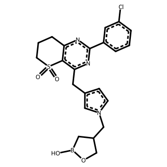 O=S1(=O)CCCc2nc(-c3cccc(Cl)c3)nc(Cc3ccn(CC4COB(O)C4)c3)c21